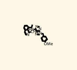 COc1ccc(Cn2cnc3c(NC(C)c4cccc5ccnc(C=O)c45)ncnc32)cc1